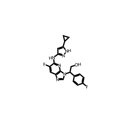 OCC(c1ccc(F)cc1)n1cnc2cc(F)c(Nc3cc(C4CC4)[nH]n3)nc21